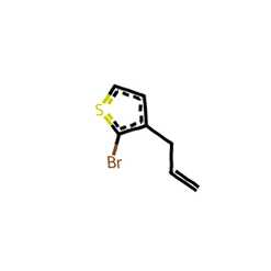 C=CCc1ccsc1Br